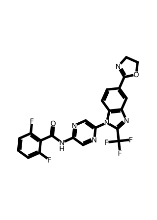 O=C(Nc1cnc(-n2c(C(F)(F)F)nc3cc(C4=NCCO4)ccc32)cn1)c1c(F)cccc1F